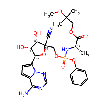 COC(C)(C)COC(=O)[C@H](C)NP(=O)(OC[C@@]1(C#N)O[C@@H](c2ccc3c(N)ncnn23)[C@H](O)[C@@H]1O)Oc1ccccc1